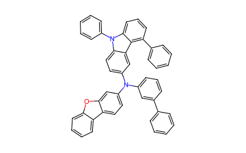 c1ccc(-c2cccc(N(c3ccc4c(c3)oc3ccccc34)c3ccc4c(c3)c3c(-c5ccccc5)cccc3n4-c3ccccc3)c2)cc1